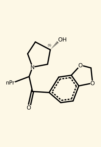 CCCC(C(=O)c1ccc2c(c1)OCO2)N1CC[C@H](O)C1